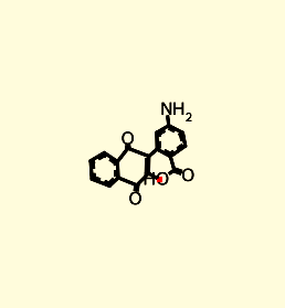 CC1=C(c2cc(N)ccc2C(=O)O)C(=O)c2ccccc2C1=O